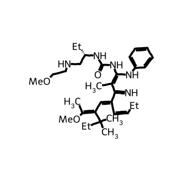 CC\C=C/C(=C\C(=C(/C)OC)C(C)(C)CC)C(=N)/C(C)=C(/NC(=O)N[C@@H](CC)CNCCOC)Nc1ccccc1